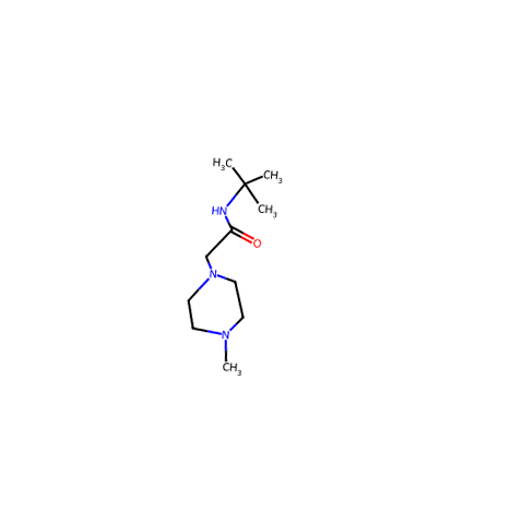 CN1CCN(CC(=O)NC(C)(C)C)CC1